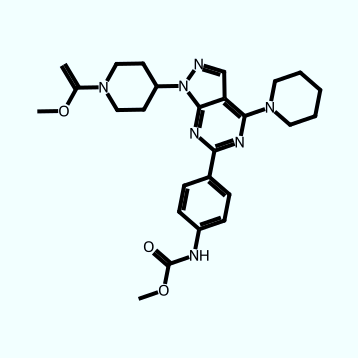 C=C(OC)N1CCC(n2ncc3c(N4CCCCC4)nc(-c4ccc(NC(=O)OC)cc4)nc32)CC1